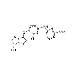 CSc1nccc(Nc2ccc(OC3COC4C(O)COC34)c(Cl)c2)n1